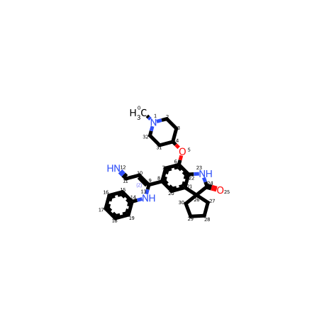 CN1CCC(Oc2cc(/C(=C/C=N)Nc3ccccc3)cc3c2NC(=O)C32CCCC2)CC1